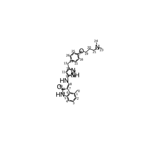 Cc1cccc2c1C(=CNc1cc(Cc3ccc(OCCCN(C)C)cc3)n[nH]1)C(=O)N2